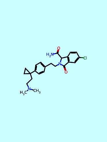 CN(C)CCC1(c2ccc(CCN3C(=O)c4cc(Cl)c[c]c4C3C(N)=O)cc2)CC1